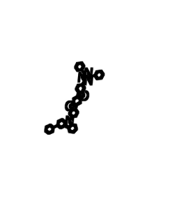 c1ccc(-c2ccc3c(c2)c2ccccc2n3-c2ccc3c(c2)oc2cc4c(cc23)oc2cc(-c3nc(-c5ccccc5)nc(-c5ccccc5)n3)ccc24)cc1